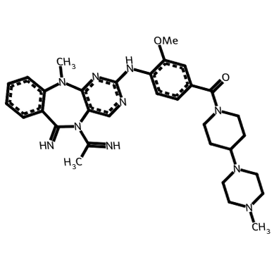 COc1cc(C(=O)N2CCC(N3CCN(C)CC3)CC2)ccc1Nc1ncc2c(n1)N(C)c1ccccc1C(=N)N2C(C)=N